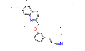 N#CC=Cc1cccc(OCc2ccc3ccccc3n2)c1